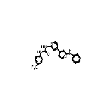 O=C(Nc1ccc(C(F)(F)F)cc1)Nc1cc(-c2ccnc(Nc3ccccc3)c2)ccn1